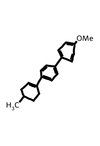 COc1ccc(-c2ccc(C3=CCC(C)CC3)cc2)cc1